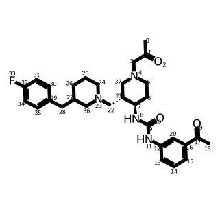 CC(=O)CN1CC[C@@H](NC(=O)Nc2cccc(C(C)=O)c2)[C@H](CN2CCCC(Cc3ccc(F)cc3)C2)C1